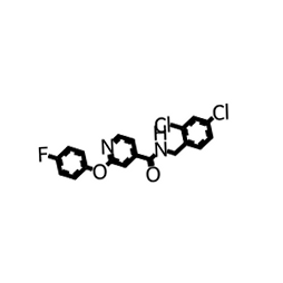 O=C(NCc1ccc(Cl)cc1Cl)c1ccnc(Oc2ccc(F)cc2)c1